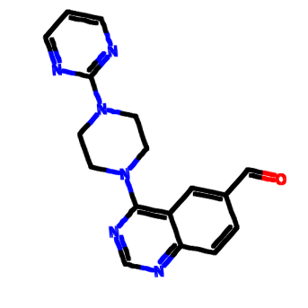 O=Cc1ccc2ncnc(N3CCN(c4ncccn4)CC3)c2c1